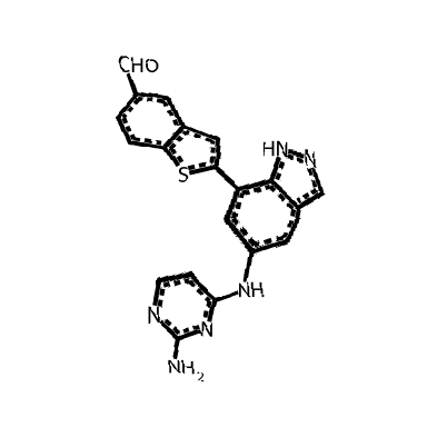 Nc1nccc(Nc2cc(-c3cc4cc(C=O)ccc4s3)c3[nH]ncc3c2)n1